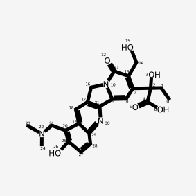 CCC(O)(C(=O)O)c1cc2n(c(=O)c1CO)Cc1cc3c(CN(C)C)c(O)ccc3nc1-2